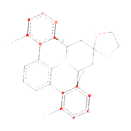 CC(C)c1cccc(C(C)C)c1-c1cccc(-c2c(C(C)C)cccc2C(C)C)c1P1C(c2ccccc2)CC2(CC1c1ccccc1)OCCO2